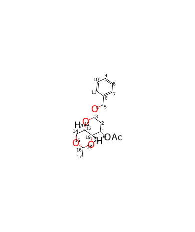 CC(=O)O[C@H]1C[C@@H](OCc2ccccc2)O[C@@H]2COC(C)O[C@@H]12